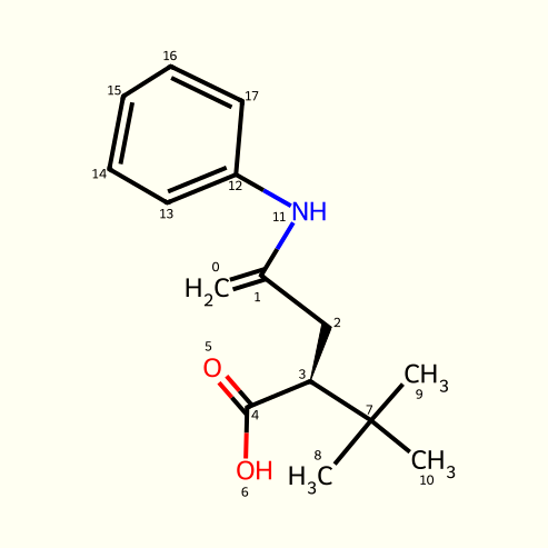 C=C(C[C@H](C(=O)O)C(C)(C)C)Nc1ccccc1